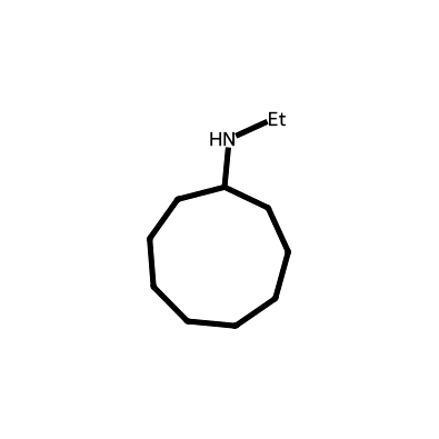 CCNC1CCCCCCCC1